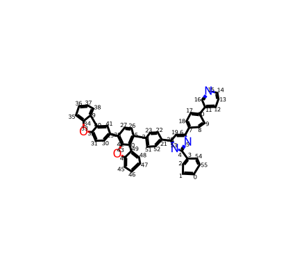 c1ccc(-c2nc(-c3ccc(-c4cccnc4)cc3)cc(-c3ccc(-c4ccc(-c5ccc6oc7ccccc7c6c5)c5oc6ccccc6c45)cc3)n2)cc1